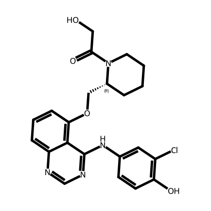 O=C(CO)N1CCCC[C@@H]1COc1cccc2ncnc(Nc3ccc(O)c(Cl)c3)c12